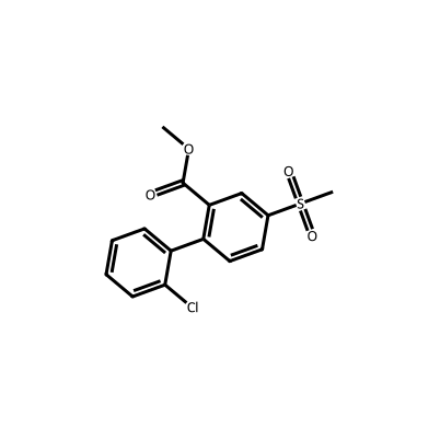 COC(=O)c1cc(S(C)(=O)=O)ccc1-c1ccccc1Cl